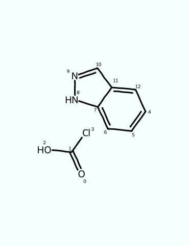 O=C(O)Cl.c1ccc2[nH]ncc2c1